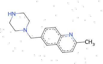 Cc1ccc2cc(CN3CCNCC3)ccc2n1